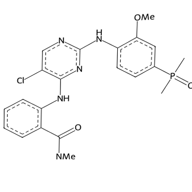 CNC(=O)c1ccccc1Nc1nc(Nc2ccc(P(C)(C)=O)cc2OC)ncc1Cl